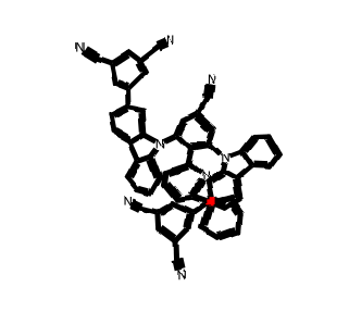 N#Cc1cc(C#N)cc(-c2ccc3c4ccccc4n(-c4cc(C#N)cc(-n5c6ccccc6c6ccc(-c7cc(C#N)cc(C#N)c7)cc65)c4-c4cccc(-c5ccccc5)n4)c3c2)c1